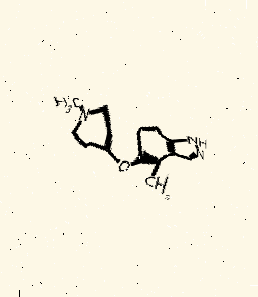 Cc1c(OC2CCN(C)CC2)ccc2[nH]ncc12